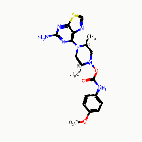 COc1ccc(NC(=O)ON2C[C@H](C)N(c3nc(N)nc4scnc34)C[C@H]2C)cc1